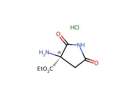 CCOC(=O)[C@@]1(N)CC(=O)NC1=O.Cl